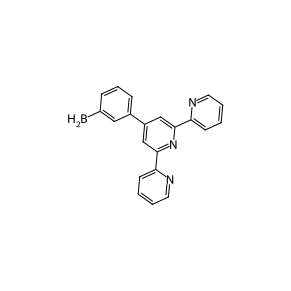 Bc1cccc(-c2cc(-c3ccccn3)nc(-c3ccccn3)c2)c1